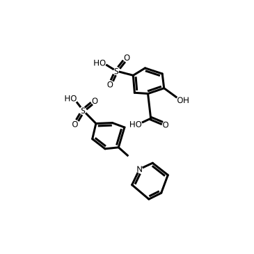 Cc1ccc(S(=O)(=O)O)cc1.O=C(O)c1cc(S(=O)(=O)O)ccc1O.c1ccncc1